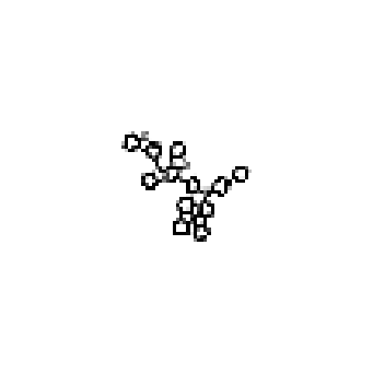 c1ccc(-c2ccc(N(c3ccc(-c4cc5c6ccccc6n(-c6ccc7sc8ccccc8c7c6)c5c5c4oc4ccccc45)cc3)c3ccc4c(c3)C3(c5ccccc5-c5ccccc53)c3ccccc3-4)cc2)cc1